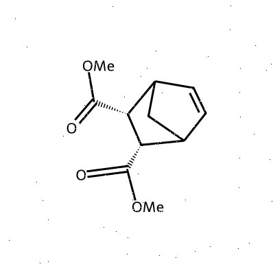 COC(=O)[C@@H]1C2C=CC(C2)[C@@H]1C(=O)OC